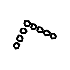 c1ccccc1.c1ccccc1.c1ccccc1.c1ccccc1.c1ccccc1.c1ccccc1.c1ccccc1.c1ccccc1